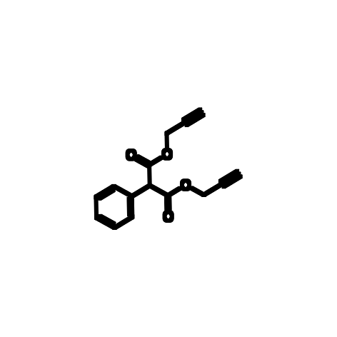 C#CCOC(=O)C(C(=O)OCC#C)c1ccccc1